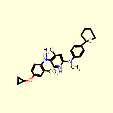 Cc1cc(N(C)c2ccc(C3CCCCC3)cc2)ncc1Nc1ccc(OC2CC2)cc1C(=O)O